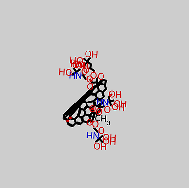 CC(C(=O)OCC(=O)NC(CO)(CO)CO)(C(=O)OCC(=O)NC(CO)(CO)CO)C12CCc3cc4cc5c6c7c8c9c%10c%11c%12c(cc%13ccc1c1c%14c%15c%16c(c3C%152)c4c6c8c%16c%10c%14c%12c%131)C=C1CC2CC7(C=C5)C23C(C(=O)OCC(=O)CC(CO)(CO)CO)(C(=O)OCC(=O)NC(CO)(CO)CO)C93C1%11